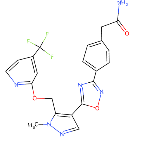 Cn1ncc(-c2nc(-c3ccc(CC(N)=O)cc3)no2)c1COc1cc(C(F)(F)F)ccn1